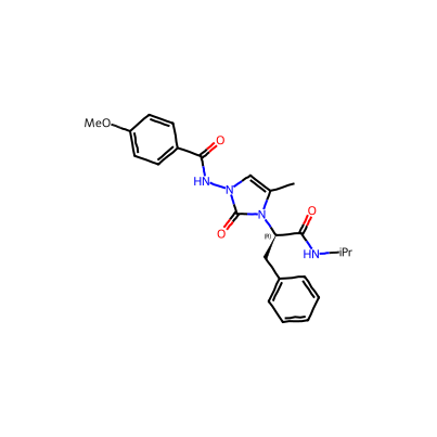 COc1ccc(C(=O)Nn2cc(C)n([C@H](Cc3ccccc3)C(=O)NC(C)C)c2=O)cc1